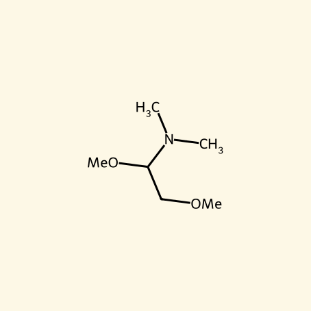 COCC(OC)N(C)C